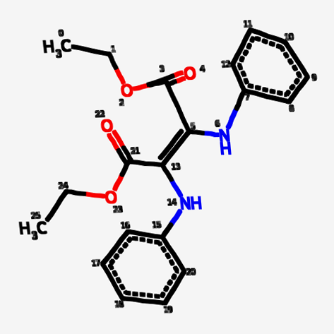 CCOC(=O)C(Nc1ccccc1)=C(Nc1ccccc1)C(=O)OCC